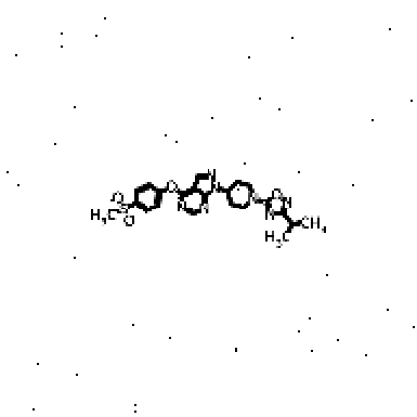 CC(C)c1noc(N2CCC(n3ncc4c(Oc5ccc(S(C)(=O)=O)cc5)ncnc43)CC2)n1